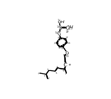 CC(C)CCCC(C)CCOc1ccc(OB(O)O)cc1